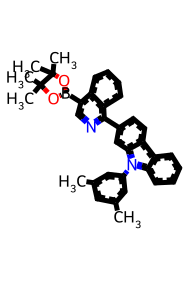 Cc1cc(C)cc(-n2c3ccccc3c3ccc(-c4ncc(B5OC(C)(C)C(C)(C)O5)c5ccccc45)cc32)c1